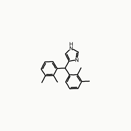 Cc1cccc(C(c2c[nH]cn2)c2cccc(C)c2C)c1C